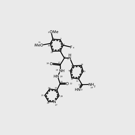 COc1cc(F)c(C(Nc2ccc(C(=N)N)cc2)C(=O)NNC(=O)c2cccnc2)cc1OC